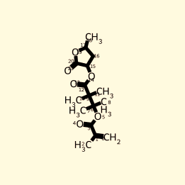 C=C(C)C(=O)OC(C)(C)C(C)(C)C(=O)OC1CC(C)OC1=O